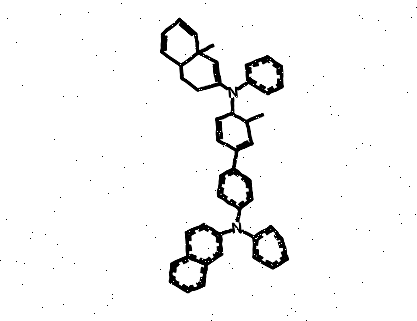 CC1C=C(c2ccc(N(c3ccccc3)c3ccc4ccccc4c3)cc2)C=CC1N(C1=CC2(C)C=CC=CC2CC1)c1ccccc1